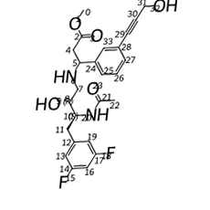 COC(=O)CC(NC[C@@H](O)[C@H](Cc1cc(F)cc(F)c1)NC(C)=O)c1cccc(C#CCO)c1